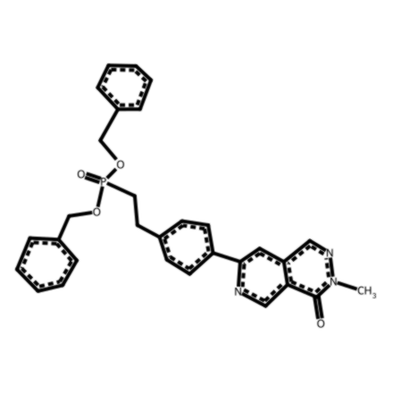 Cn1ncc2cc(-c3ccc(CCP(=O)(OCc4ccccc4)OCc4ccccc4)cc3)ncc2c1=O